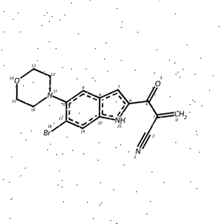 C=C(C#N)C(=O)c1cc2cc(N3CCOCC3)c(Br)cc2[nH]1